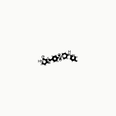 Cc1ccc(NC2CCN(S(=O)(=O)c3ccc(-c4nc5c(s4)C(=O)NCC5)cc3)CC2)nc1